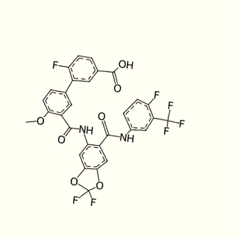 COc1ccc(-c2cc(C(=O)O)ccc2F)cc1C(=O)Nc1cc2c(cc1C(=O)Nc1ccc(F)c(C(F)(F)F)c1)OC(F)(F)O2